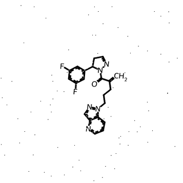 C=C(CCCn1ncc2ncccc21)C(=O)N1N=CCC1c1cc(F)cc(F)c1